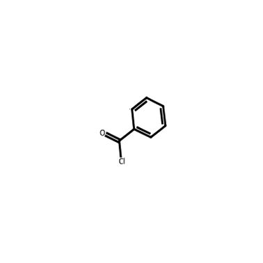 O=C(Cl)c1[c]cccc1